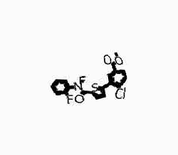 COC(=O)c1ccc(Cl)c(-c2ccc(C(=O)N(F)c3ccccc3F)s2)c1